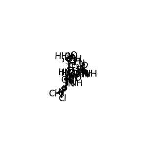 CCCN(CC(CC)C(=O)N(CC(N)=O)Cc1c[nH]nn1)C(=O)C(C)CN(Cc1c[nH]nn1)C(=O)C(CNC(=O)CCCc1ccc(N(CCCl)CCCl)cc1)NC(=O)CCCC[C@@H]1SC[C@]2(C)NC(=O)N[C@]12C